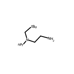 CCCN(CCN)CC(C)(C)C